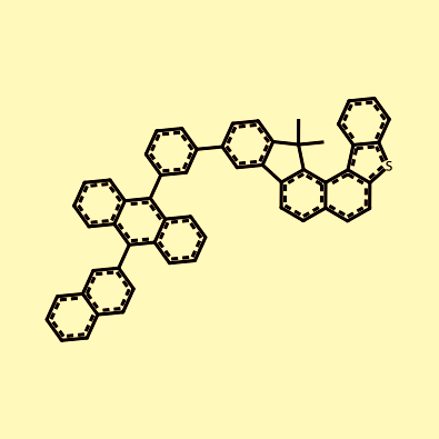 CC1(C)c2ccc(-c3cccc(-c4c5ccccc5c(-c5ccc6ccccc6c5)c5ccccc45)c3)cc2-c2ccc3ccc4sc5ccccc5c4c3c21